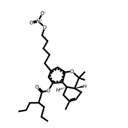 CCCC(CCC)C(=O)Oc1cc(CCCCCO[N+](=O)[O-])cc2c1[C@@H]1CC(C)=CC[C@H]1C(C)(C)O2